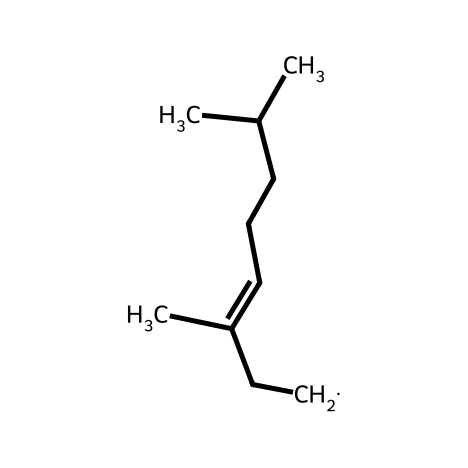 [CH2]CC(C)=CCCC(C)C